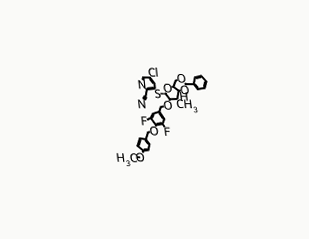 COc1ccc(COc2c(F)cc(COC3C(C)[C@H]4OC(c5ccccc5)OCC4O[C@@H]3Sc3cc(Cl)cnc3C#N)cc2F)cc1